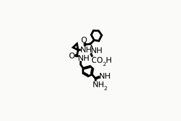 N=C(N)c1ccc(CNC(=O)C2(NC(=O)[C@H](NCC(=O)O)C3CCCCC3)CC2)cc1